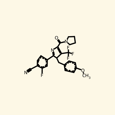 COc1ccc(CC2C(c3ccc(C#N)c(F)c3)=NC(C(=O)N3CCCC3)=C2C(F)(F)F)cc1